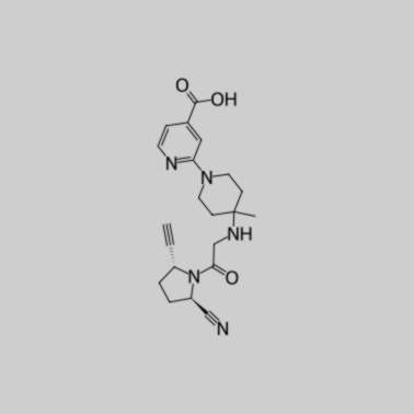 C#C[C@H]1CC[C@H](C#N)N1C(=O)CNC1(C)CCN(c2cc(C(=O)O)ccn2)CC1